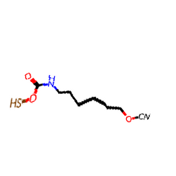 N#COCCCCCCNC(=O)OS